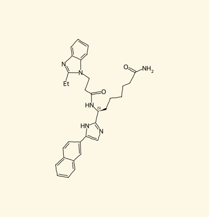 CCc1nc2ccccc2n1CCC(=O)N[C@@H](CCCCCC(N)=O)c1ncc(-c2ccc3ccccc3c2)[nH]1